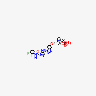 CC(C)(C)C(OP(=O)(O)O)([C@@H]1CCCN1CCCOc1ccc2c(Nc3cnn(CC(=O)Nc4cccc(F)c4F)c3)ncnc2c1)C(C)(C)C